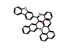 c1ccc2c(c1)-c1cccc3cccc(c13)N2c1cc2ccccc2cc1-c1nc2ccccc2nc1-c1ccc2c(c1)sc1ccccc12